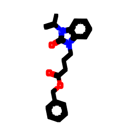 C=C(C)n1c(=O)n(CCCC(=O)OCc2ccccc2)c2ccccc21